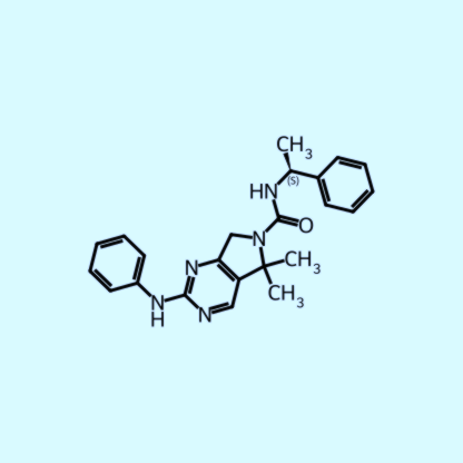 C[C@H](NC(=O)N1Cc2nc(Nc3ccccc3)ncc2C1(C)C)c1ccccc1